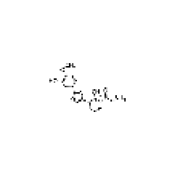 CCC(=O)c1cccc(-c2coc(-c3ccc(OC)c(O)c3)n2)c1C